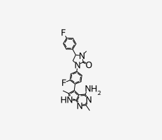 Cc1nc(N)c2c(-c3ccc(N4CC(c5ccc(F)cc5)N(C)C4=O)cc3F)c(C)[nH]c2n1